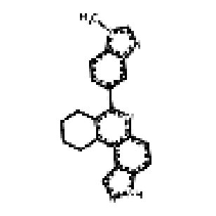 Cn1cnc2cc(-c3nc4ccc5[nH]ncc5c4c4c3CCCC4)ccc21